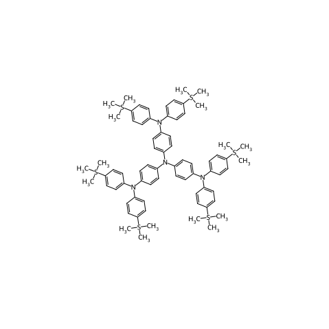 CS(C)(C)c1ccc(N(c2ccc(N(c3ccc(N(c4ccc(S(C)(C)C)cc4)c4ccc(S(C)(C)C)cc4)cc3)c3ccc(N(c4ccc(S(C)(C)C)cc4)c4ccc(S(C)(C)C)cc4)cc3)cc2)c2ccc(S(C)(C)C)cc2)cc1